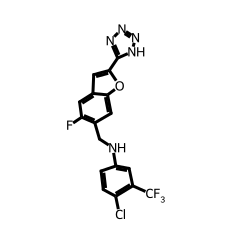 Fc1cc2cc(-c3nnn[nH]3)oc2cc1CNc1ccc(Cl)c(C(F)(F)F)c1